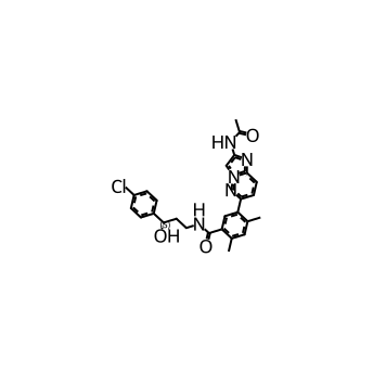 CC(=O)Nc1cn2nc(-c3cc(C(=O)NCC[C@H](O)c4ccc(Cl)cc4)c(C)cc3C)ccc2n1